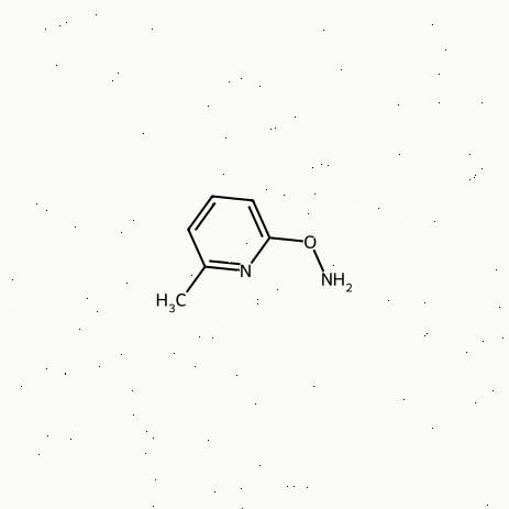 Cc1cccc(ON)n1